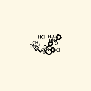 COC1(OCCN2CCN(C(C)=O)CC2)CCCc2cc(Cl)ccc2N1C(=O)c1ccc(NC(=O)c2ccccc2C)cc1.Cl